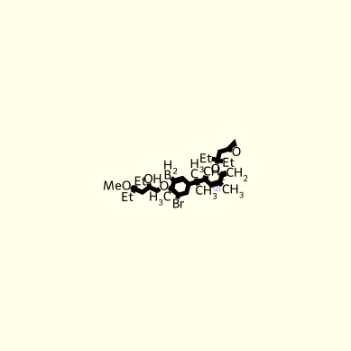 BC1=CC(C(C)(C)C(=C)/C=C(/C)C(=C)OC(CC)(CC)CC2CO2)CC(Br)[C@@]1(C)OCC(O)CC(CC)(CC)OC